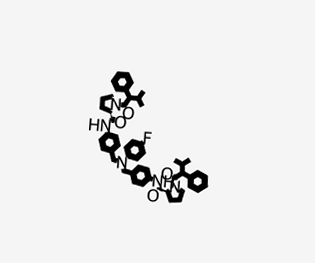 CC(C)C(C(=O)N1CCC[C@H]1C(=O)Nc1ccc(CN(Cc2ccc(NC(=O)[C@@H]3CCCN3C(=O)C(c3ccccc3)C(C)C)cc2)c2ccc(F)cc2)cc1)c1ccccc1